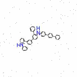 CC1(Nc2ccccc2)CC=CC=C1c1cccc(-c2ccc(Nc3ccc(-c4ccc(-c5ccccc5)cc4)cc3)c(-c3ccccc3)c2)c1